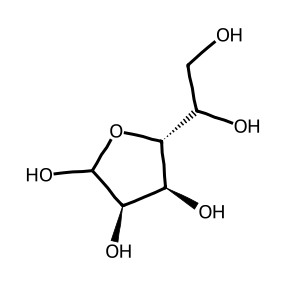 OCC(O)[C@H]1OC(O)[C@H](O)[C@@H]1O